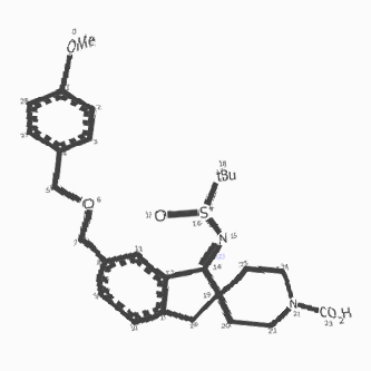 COc1ccc(COCc2ccc3c(c2)/C(=N\[S+]([O-])C(C)(C)C)C2(CCN(C(=O)O)CC2)C3)cc1